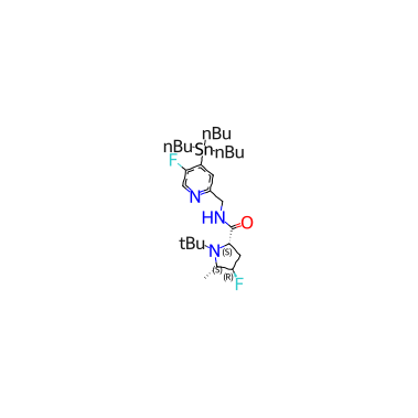 CCC[CH2][Sn]([CH2]CCC)([CH2]CCC)[c]1cc(CNC(=O)[C@@H]2C[C@@H](F)[C@H](C)N2C(C)(C)C)ncc1F